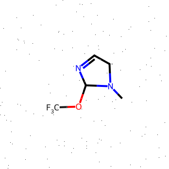 CN1[CH]C=NC1OC(F)(F)F